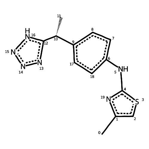 Cc1csc(Nc2ccc([C@@H](C)c3nnn[nH]3)cc2)n1